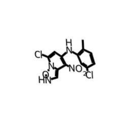 Cc1ccc(Cl)cc1NC1=C([N+](=O)[O-])C2=CNON2C(Cl)=C1